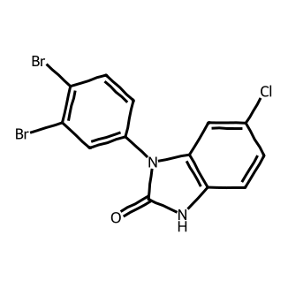 O=c1[nH]c2ccc(Cl)cc2n1-c1ccc(Br)c(Br)c1